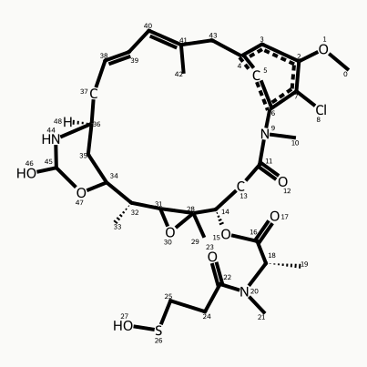 COc1cc2cc(c1Cl)N(C)C(=O)C[C@H](OC(=O)[C@H](C)N(C)C(=O)CCSO)C1(C)OC1[C@H](C)C1C[C@H](C/C=C/C=C(\C)C2)NC(O)O1